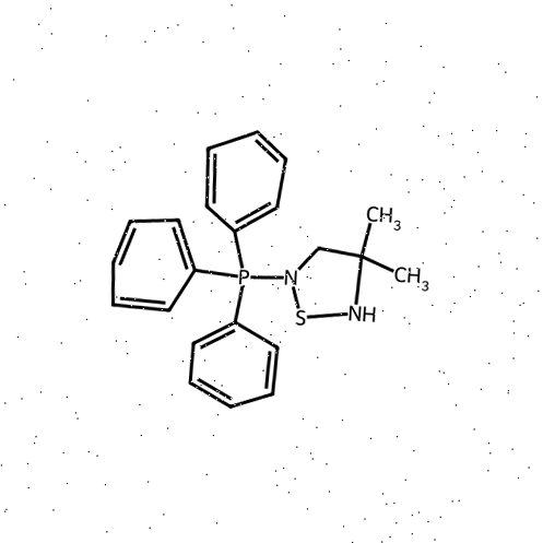 CC1(C)CN([P](c2ccccc2)(c2ccccc2)c2ccccc2)SN1